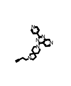 C#CCCN1CCC2(CCN(c3nc(-c4ccncc4)nc4cnccc34)CC2)C1